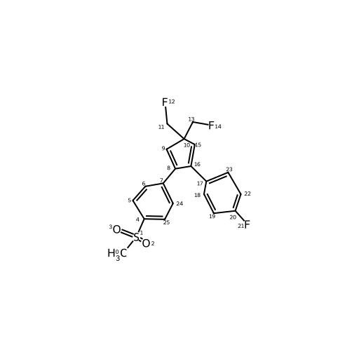 CS(=O)(=O)c1ccc(C2=CC(CF)(CF)C=C2c2ccc(F)cc2)cc1